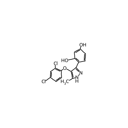 Cc1[nH]nc(-c2ccc(O)cc2O)c1Oc1ccc(Cl)cc1Cl